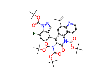 C=C(C)c1cc2c(-c3ccc(F)c4c3cnn4C(=O)OC(C)(C)C)c(N(C(=O)OC(C)(C)C)C(=O)OC(C)(C)C)c(=O)n(C(=O)OC(C)(C)C)c2c2cccnc12